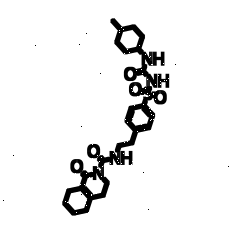 CC1CCC(NC(=O)NS(=O)(=O)c2ccc(CCNC(=O)N3CCC4=C(CCCC4)C3=O)cc2)CC1